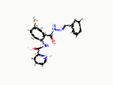 Cc1cccc(/C=N/NC(=O)c2cc(Br)ccc2NC(=O)c2ccccn2)c1